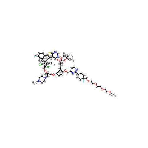 COCCOCCOCCOCC1(F)CCC(c2nccc(COc3ccc4cc3C[C@H](C(=O)OC(C)(C)C)Oc3ncnc5sc(-c6ccc(F)cc6)c(c35)-c3c(C)c(Cl)c(c(Cl)c3C)O[C@H](CN3CCN(C)CC3)CO4)n2)CC1